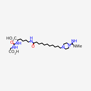 CNC(=N)N1CCN(CCCCCCCCCCC(=O)NCCCC[C@H](NC(=O)NCC(=O)O)C(=O)O)CC1